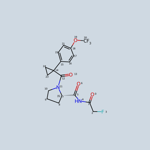 O=C(CF)NC(=O)[C@@H]1CCCN1C(=O)C1(c2ccc(OC(F)(F)F)cc2)CC1